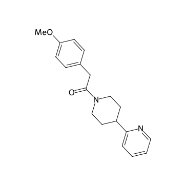 COc1ccc(CC(=O)N2CCC(c3ccccn3)CC2)cc1